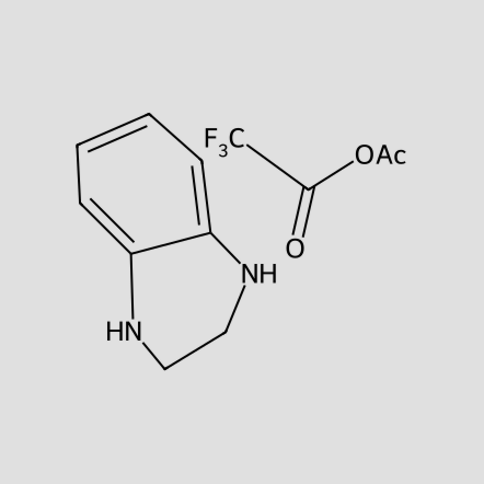 CC(=O)OC(=O)C(F)(F)F.c1ccc2c(c1)NCCN2